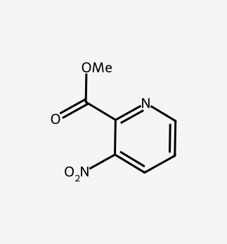 COC(=O)c1ncccc1[N+](=O)[O-]